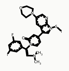 CN(C)/C=C(/c1cc(F)cc(I)c1)n1ccc(-c2cn(SI)c3ncc(N4CCOCC4)cc23)cc1=O